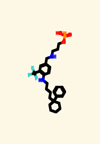 O=[PH](O)OCCCNCc1ccc(NCCCCC2(c3ccccc3)CCCCC2)c(C(F)(F)F)c1